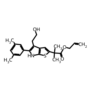 C=CCOC(=O)C(C)(C)c1cc2c(CCO)c(-c3cc(C)cc(C)c3)[nH]c2s1